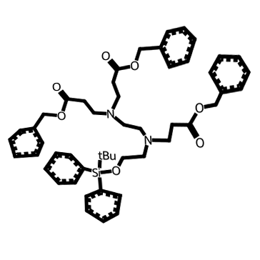 CC(C)(C)[Si](OCCN(CCC(=O)OCc1ccccc1)CCN(CCC(=O)OCc1ccccc1)CCC(=O)OCc1ccccc1)(c1ccccc1)c1ccccc1